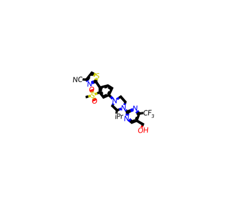 CC(C)C1CN(c2ccc(-c3nc(C#N)cs3)c(S(C)(=O)=O)c2)CCN1c1ncc(CO)c(C(F)(F)F)n1